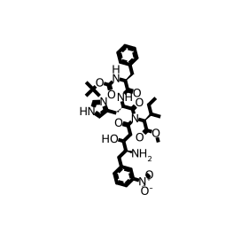 CCC(C)[C@@H](C(=O)OC)N(C(=O)CC(O)[C@@H](N)Cc1cccc([N+](=O)[O-])c1)C(=O)[C@H](Cc1c[nH]cn1)NC(=O)[C@H](Cc1ccccc1)NC(=O)OC(C)(C)C